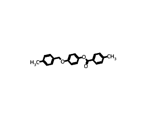 Cc1ccc(COc2ccc(OC(=O)c3ccc(C)cc3)cc2)cc1